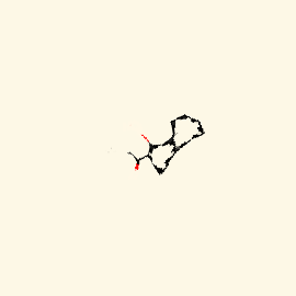 CSC(=O)c1ccc2ccccc2c1O